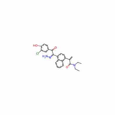 C=C(C(=O)N(CC)CC)c1ccc(C(=NN)C(=O)c2ccc(O)c(Cl)c2)c2ccccc12